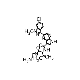 C=C(C)[C@@H](NC(=O)c1c[nH]c2ncc(-c3nn(C)c4cc(Cl)ccc34)nc12)C(=O)N1CC(N)C1